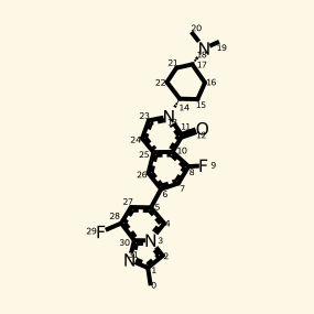 Cc1cn2cc(-c3cc(F)c4c(=O)n([C@H]5CC[C@@H](N(C)C)CC5)ccc4c3)cc(F)c2n1